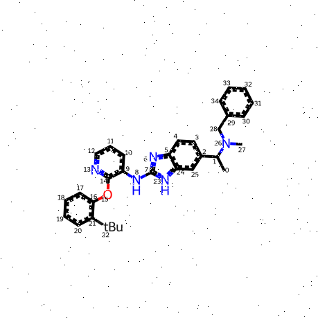 CC(c1ccc2nc(Nc3cccnc3Oc3ccccc3C(C)(C)C)[nH]c2c1)N(C)Cc1ccccc1